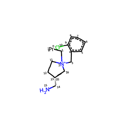 CC(C)C[N+]1(Cc2ccccc2Cl)CC[C@@H](CN)C1